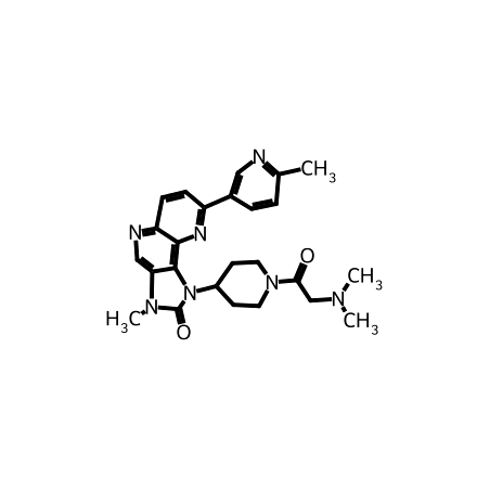 Cc1ccc(-c2ccc3ncc4c(c3n2)n(C2CCN(C(=O)CN(C)C)CC2)c(=O)n4C)cn1